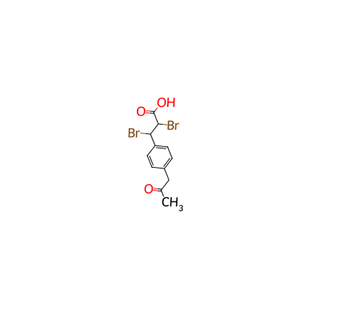 CC(=O)Cc1ccc(C(Br)C(Br)C(=O)O)cc1